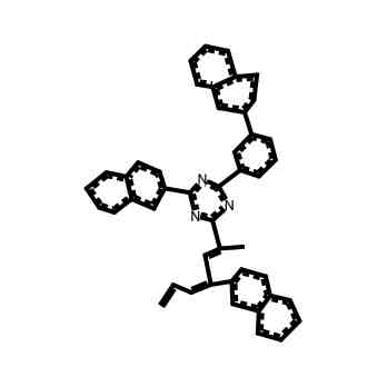 C=C/C=C(\C=C(/C)c1nc(-c2cccc(-c3ccc4ccccc4c3)c2)nc(-c2ccc3ccccc3c2)n1)c1ccc2ccccc2c1